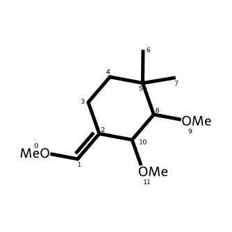 COC=C1CCC(C)(C)C(OC)C1OC